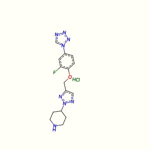 Cl.Fc1cc(-n2cnnn2)ccc1OCc1cnn(C2CCNCC2)n1